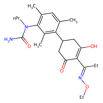 CCCN(C(N)=O)c1c(C)cc(C)c(C2CC(=O)C(C(CC)=NOCC)=C(O)C2)c1C